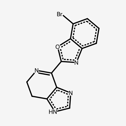 Brc1cccc2nc(C3=NCCc4[nH]cnc43)oc12